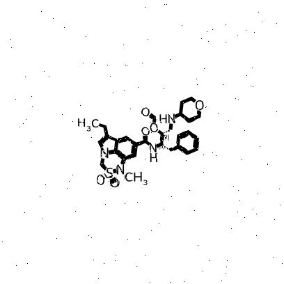 CCc1cn2c3c(cc(C(=O)N[C@@H](Cc4ccccc4)[C@@H](CNC4CCOCC4)OC=O)cc13)N(C)S(=O)(=O)C2